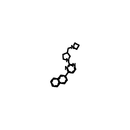 c1ccc2cc(-c3ccnc(N4CCC(CN5CCC5)C4)n3)ccc2c1